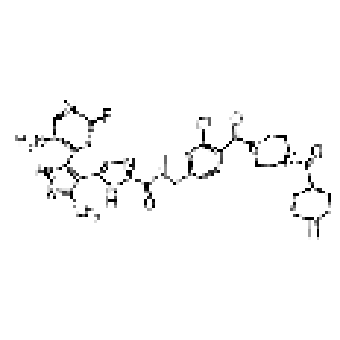 Nc1cnc(F)cc1-c1[nH]nc(C(F)(F)F)c1-c1cnc(C(=O)NCc2ccc(C(=O)N3CCN(C(=O)C4CCNCC4)CC3)c(Cl)c2)[nH]1